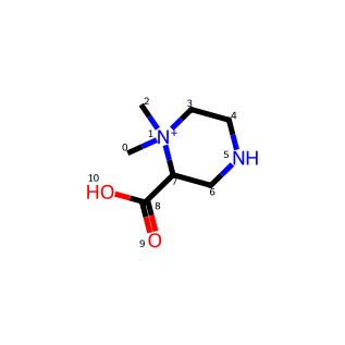 C[N+]1(C)CCNCC1C(=O)O